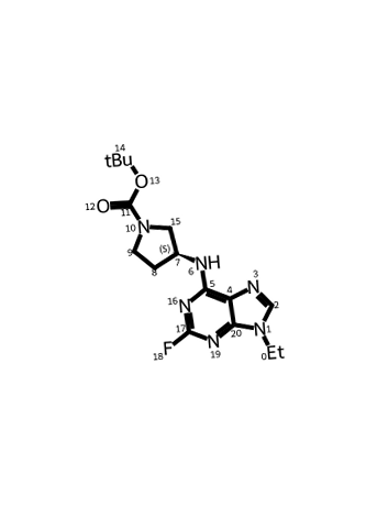 CCn1cnc2c(N[C@H]3CCN(C(=O)OC(C)(C)C)C3)nc(F)nc21